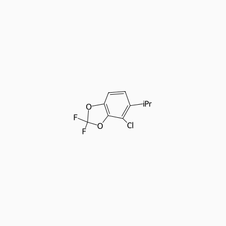 CC(C)c1ccc2c(c1Cl)OC(F)(F)O2